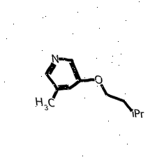 Cc1cncc(OCCC(C)C)c1